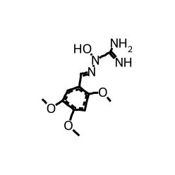 COc1cc(OC)c(OC)cc1C=NN(O)C(=N)N